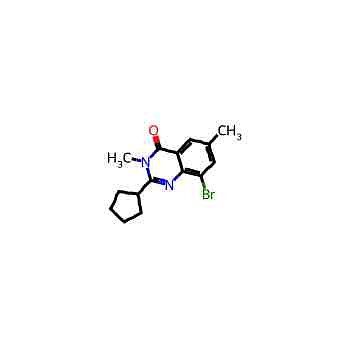 Cc1cc(Br)c2nc(C3CCCC3)n(C)c(=O)c2c1